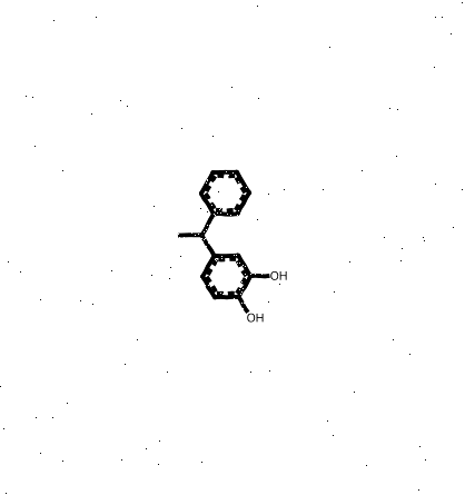 CC(c1ccccc1)c1ccc(O)c(O)c1